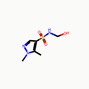 Cc1c(S(=O)(=O)NCO)cnn1C